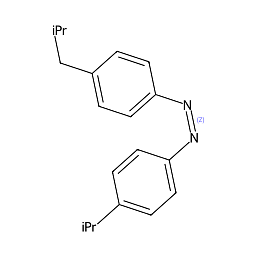 CC(C)Cc1ccc(/N=N\c2ccc(C(C)C)cc2)cc1